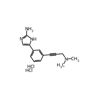 CN(C)CC#Cc1cccc(-c2cnc(N)[nH]2)c1.Cl.Cl